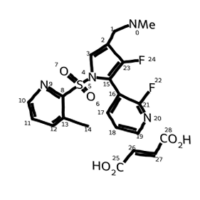 CNCc1cn(S(=O)(=O)c2ncccc2C)c(-c2cccnc2F)c1F.O=C(O)C=CC(=O)O